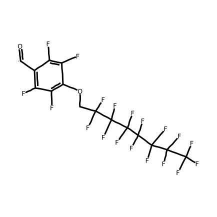 O=[C]c1c(F)c(F)c(OCC(F)(F)C(F)(F)C(F)(F)C(F)(F)C(F)(F)C(F)(F)C(F)(F)F)c(F)c1F